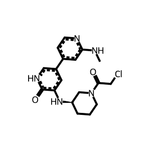 CNc1cc(-c2c[nH]c(=O)c(N[C@@H]3CCCN(C(=O)CCl)C3)c2)ccn1